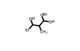 CCCCC(O)C(C)C(O)CC